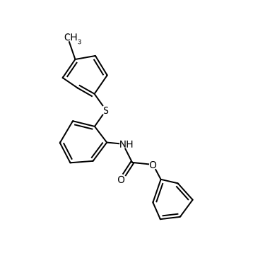 Cc1ccc(Sc2ccccc2NC(=O)Oc2ccccc2)cc1